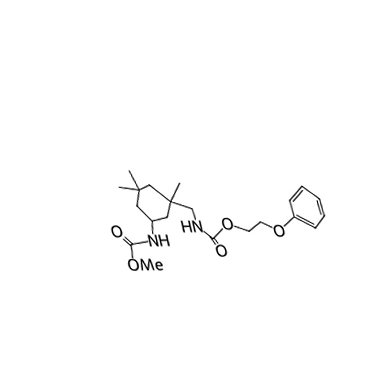 COC(=O)NC1CC(C)(C)CC(C)(CNC(=O)OCCOc2ccccc2)C1